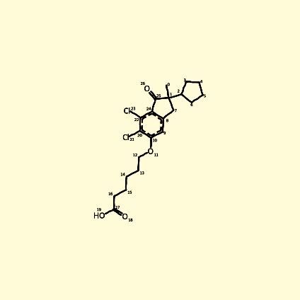 CC1(C2CCCC2)Cc2cc(OCCCCCC(=O)O)c(Cl)c(Cl)c2C1=O